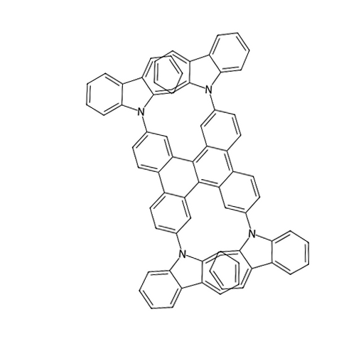 c1ccc2c(c1)c1ccccc1n2-c1ccc2c3ccc(-n4c5ccccc5c5ccccc54)cc3c3c4cc(-n5c6ccccc6c6ccccc65)ccc4c4ccc(-n5c6ccccc6c6ccccc65)cc4c3c2c1